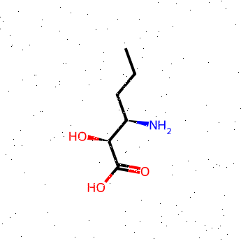 CCC[C@@H](N)[C@H](O)C(=O)O